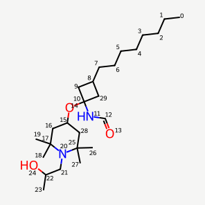 CCCCCCCCC1CC(NC=O)(OC2CC(C)(C)N(CC(C)O)C(C)(C)C2)C1